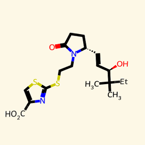 CCC(C)(C)[C@H](O)C=C[C@H]1CCC(=O)N1CCSc1nc(C(=O)O)cs1